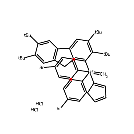 Cl.Cl.[CH2]=[Hf]([C]1=CC=CC1)([c]1ccc(Br)cc1)([c]1ccc(Br)cc1)[c]1c2c(cc(C(C)(C)C)c1C(C)(C)C)-c1cc(C(C)(C)C)c(C(C)(C)C)cc1C2